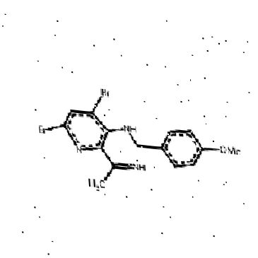 COc1ccc(CNc2c(Br)cc(Br)nc2C(C)=N)cc1